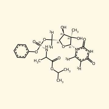 [2H]c1c([2H])n([C@@H]2O[C@H](C([2H])([2H])O[P@@](=O)(NC(C)C(=O)OC(C)C)Oc3ccccc3)[C@@H](O)[C@@]2(C)O)c(=O)[nH]c1=O